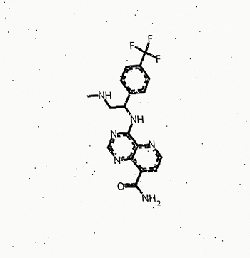 CNCC(Nc1ncnc2c(C(N)=O)ccnc12)c1ccc(C(F)(F)F)cc1